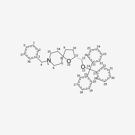 c1ccc(CN2CCC3(CC[C@H](COC(c4ccccc4)(c4ccccc4)c4ccccc4)O3)CC2)cc1